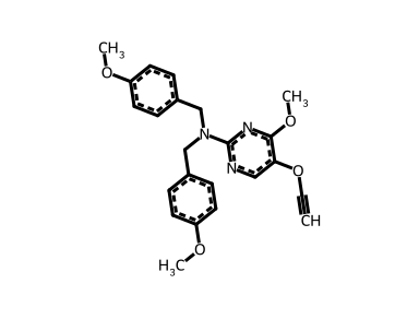 C#COc1cnc(N(Cc2ccc(OC)cc2)Cc2ccc(OC)cc2)nc1OC